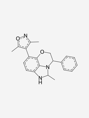 Cc1noc(C)c1-c1ccc2c3c1OCC(c1ccccc1)N3C(C)N2